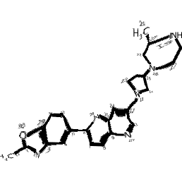 Cc1nc2cc(-c3ccc4ncc(N5CC(N6CCN[C@H](C)C6)C5)cc4n3)ccc2o1